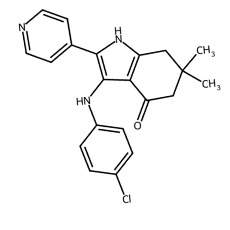 CC1(C)CC(=O)c2c([nH]c(-c3ccncc3)c2Nc2ccc(Cl)cc2)C1